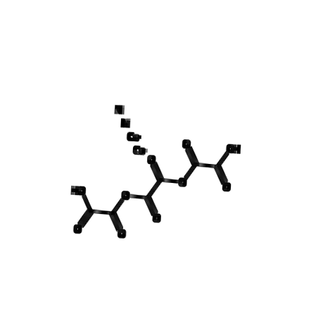 O=C(O)C(=O)OC(=O)C(=O)OC(=O)C(=O)O.[Co].[Co].[Ni].[Ni]